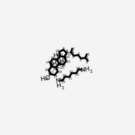 CC(C)CCCC(C)[C@H]1CC[C@H]2[C@@H]3CC=C4C[C@@H](O)CC[C@]4(C)[C@H]3CC[C@]12C.NCCCCCCN